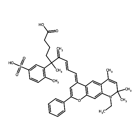 C=C(/C=C/C=C1\C=C(c2ccccc2)Oc2cc3c(cc21)C(C)=CC(C)(C)N3CC)C(C)(CCCC(=O)O)c1cc(S(=O)(=O)O)ccc1C